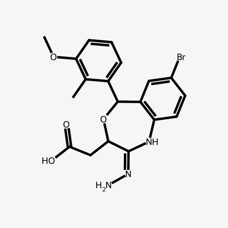 COc1cccc(C2OC(CC(=O)O)C(=NN)Nc3ccc(Br)cc32)c1C